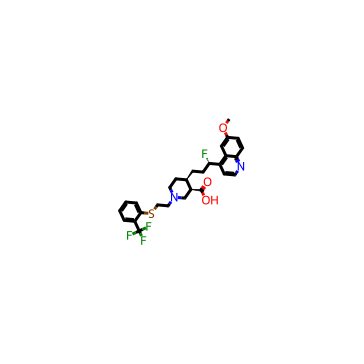 COc1ccc2nccc([C@@H](F)CC[C@@H]3CCN(CCSc4ccccc4C(F)(F)F)C[C@@H]3C(=O)O)c2c1